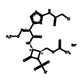 CO/N=C(\C(=O)N[C@H]1C(=O)N(S(=O)(=O)[O-])[C@H]1COC(C)=O)c1csc(NC(=O)CCl)n1.[Na+]